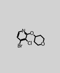 Clc1c(Br)ccnc1OC1CCOCC1